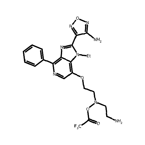 CCn1c(-c2nonc2N)nc2c(-c3ccccc3)ncc(OCCN(CCN)OC(=O)C(F)(F)F)c21